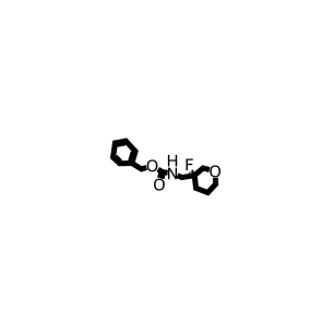 O=C(NC[C@]1(F)CCCOC1)OCc1ccccc1